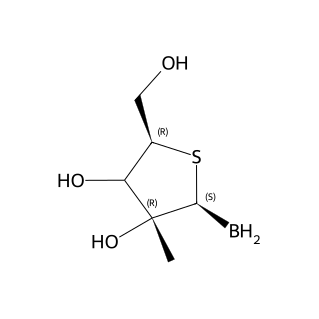 B[C@@H]1S[C@H](CO)C(O)[C@@]1(C)O